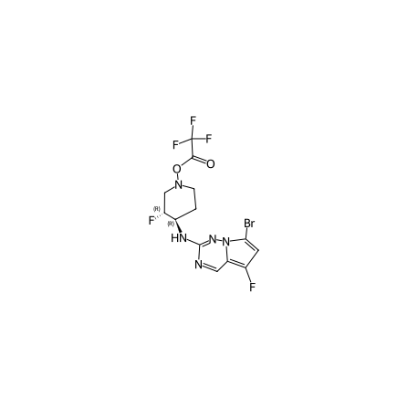 O=C(ON1CC[C@@H](Nc2ncc3c(F)cc(Br)n3n2)[C@H](F)C1)C(F)(F)F